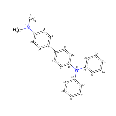 CN(C)c1ccc(-c2ccc(N(c3ccccc3)c3ccccc3)cc2)cc1